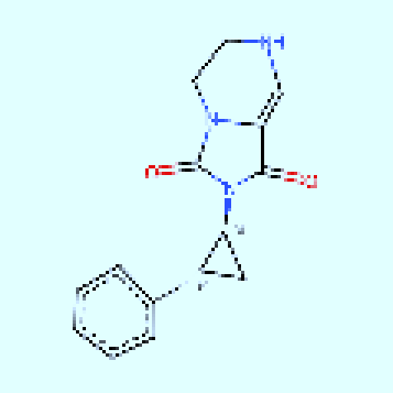 O=C1C2=CNCCN2C(=O)N1[C@H]1C[C@@H]1c1ccccc1